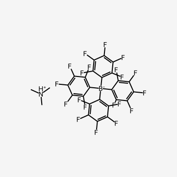 C[NH+](C)C.Fc1c(F)c(F)c([B-](c2c(F)c(F)c(F)c(F)c2F)(c2c(F)c(F)c(F)c(F)c2F)c2c(F)c(F)c(F)c(F)c2F)c(F)c1F